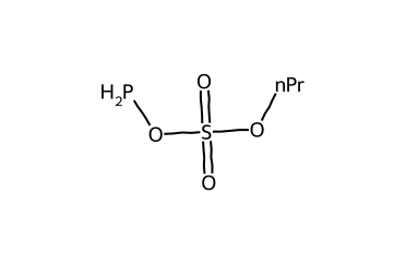 CCCOS(=O)(=O)OP